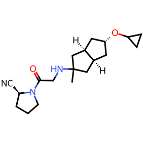 CC1(NCC(=O)N2CCC[C@H]2C#N)C[C@H]2C[C@H](OC3CC3)C[C@H]2C1